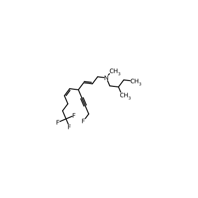 CCC(C)CN(C)C/C=C/C(C#CCF)/C=C\CCC(F)(F)F